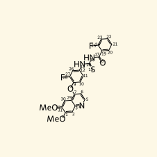 COc1cc2nccc(Oc3ccc(NC(=S)NC(=O)c4ccccc4F)cc3F)c2cc1OC